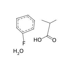 CC(C)C(=O)O.Fc1ccccc1.O